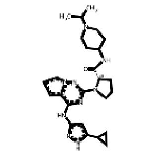 CC(C)N1CCC(NC(=O)[C@@H]2CCCN2c2nc(Nc3cc(C4CC4)[nH]n3)c3cccn3n2)CC1